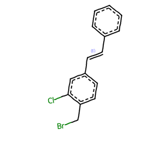 Clc1cc(/C=C/c2ccccc2)ccc1CBr